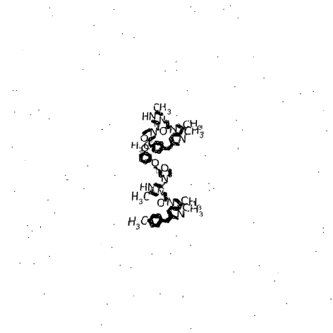 Cc1ccc(Cc2cnc3c(c2)N(C(=O)CN2C[C@@H](C)NC[C@@H]2CN2CCO[C@H](COc4cccc(OC[C@@H]5CN(C[C@H]6CN[C@H](C)CN6CC(=O)N6CC(C)(C)c7ncc(Cc8ccc(C)cc8)cc76)CCO5)c4)C2)CC3(C)C)cc1